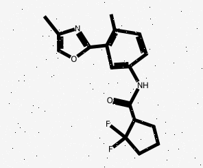 Cc1coc(-c2cc(NC(=O)C3CCCC3(F)F)ccc2C)n1